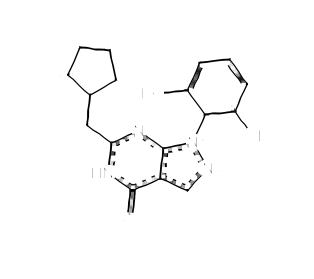 CC1=CC=CC(Cl)C1n1ncc2c(=O)[nH]c(CC3CCCC3)nc21